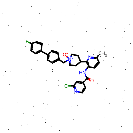 Cc1ccc(NC(=O)c2ccnc(Cl)c2)c(C2CC[N+]([O-])(Cc3ccc(-c4ccc(F)cc4)cc3)CC2)n1